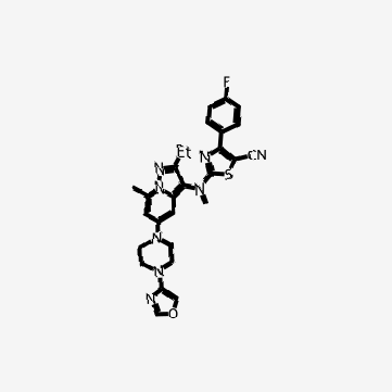 CCc1nn2c(C)cc(N3CCN(c4cocn4)CC3)cc2c1N(C)c1nc(-c2ccc(F)cc2)c(C#N)s1